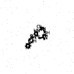 O=C(Nc1ccc2cc1CCc1cncc(c1)Nc1ncc(Cl)c(n1)N2)N1CCN(c2ccncc2)CC1